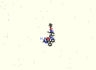 CCc1c(-c2ccc(NC(=O)C(c3cnn(C(C)C)c3C(N)=O)C(C3CCCCC3)C3CCCCC3)nc2F)c(C)nn1COCC[Si](C)(C)C